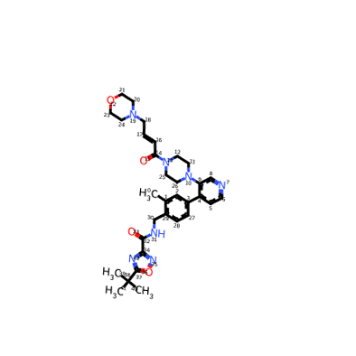 Cc1cc(-c2ccncc2N2CCN(C(=O)C=CCN3CCOCC3)CC2)ccc1CNC(=O)c1noc(C(C)(C)C)n1